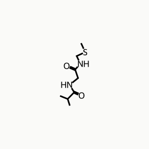 CSCNC(=O)CNC(=O)C(C)C